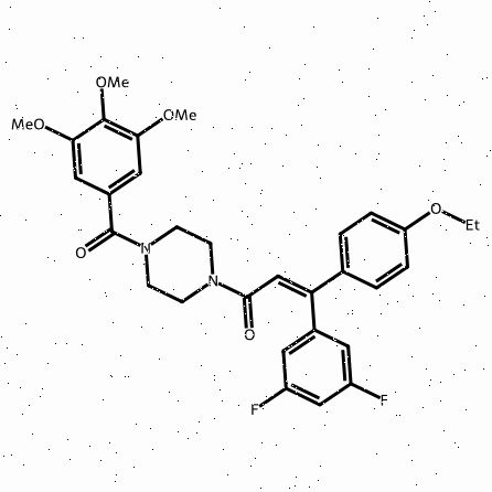 CCOc1ccc(C(=CC(=O)N2CCN(C(=O)c3cc(OC)c(OC)c(OC)c3)CC2)c2cc(F)cc(F)c2)cc1